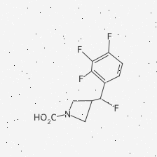 O=C(O)N1CC(C(F)c2ccc(F)c(F)c2F)C1